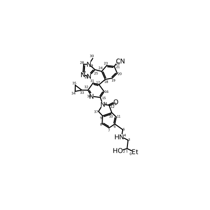 CCC(O)CNCc1ccc2c(c1)C(=O)N(c1cc(-c3ccc(C#N)cc3-c3nncn3C)cc(C3CC3)n1)C2